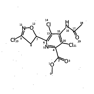 COC(=O)c1nc(C2CC(Cl)=NO2)c(Cl)c(NC(C)=O)c1Cl